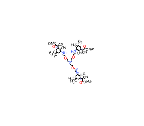 COC(=O)/C(C#N)=C1\CC(C)(C)CC(NCCOCCN(CCOCCNC2=C(C#N)/C(=C(\C#N)C(=O)OC)CC(C)(C)C2)CCOCCNC2=C(C#N)/C(=C(\C#N)C(=O)OC)CC(C)(C)C2)=C1C#N